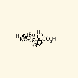 Cc1c(C(=O)O)ccc2c1O[C@@H](CO[Si](C)(C)C(C)(C)C)CO2